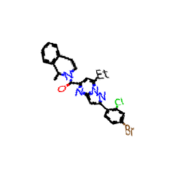 CCc1cc(C(=O)N2CCc3ccccc3C2C)nc2cc(-c3ccc(Br)cc3Cl)nn12